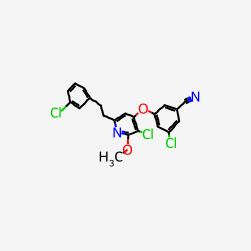 COc1nc(CCc2cccc(Cl)c2)cc(Oc2cc(Cl)cc(C#N)c2)c1Cl